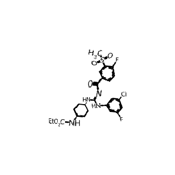 CCOC(=O)N[C@H]1CC[C@H](N/C(=N\C(=O)c2ccc(F)c(S(C)(=O)=O)c2)Nc2cc(F)cc(Cl)c2)CC1